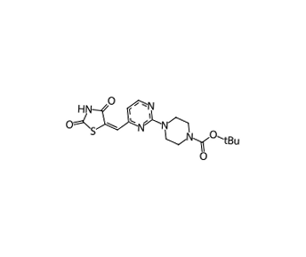 CC(C)(C)OC(=O)N1CCN(c2nccc(C=C3SC(=O)NC3=O)n2)CC1